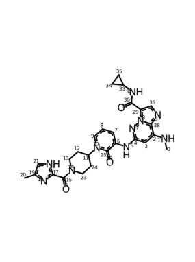 CNc1cc(Nc2cccn(C3CCN(C(=O)c4nc(C)c[nH]4)CC3)c2=O)nn2c(C(=O)NC3CC3)cnc12